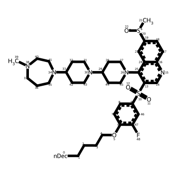 CCCCCCCCCCCCCCOc1ccc(S(=O)(=O)c2cnc3ccc([S+](C)[O-])cc3c2N2CCC(N3CCC(N4CCCN(C)CC4)CC3)CC2)cc1F